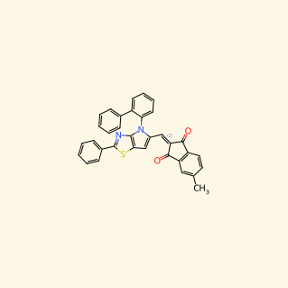 Cc1ccc2c(c1)C(=O)/C(=C\c1cc3sc(-c4ccccc4)nc3n1-c1ccccc1-c1ccccc1)C2=O